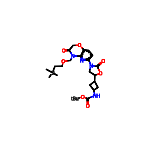 CC(C)(C)OC(=O)NC1CC(C2CN(c3ccc4c(n3)N(COCC[Si](C)(C)C)C(=O)CO4)C(=O)O2)C1